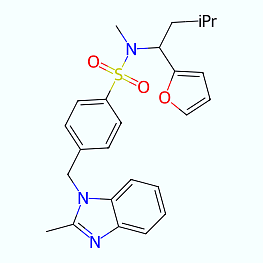 Cc1nc2ccccc2n1Cc1ccc(S(=O)(=O)N(C)C(CC(C)C)c2ccco2)cc1